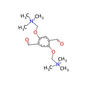 C[N+](C)(C)COc1cc(C=O)c(OC[N+](C)(C)C)cc1C=O